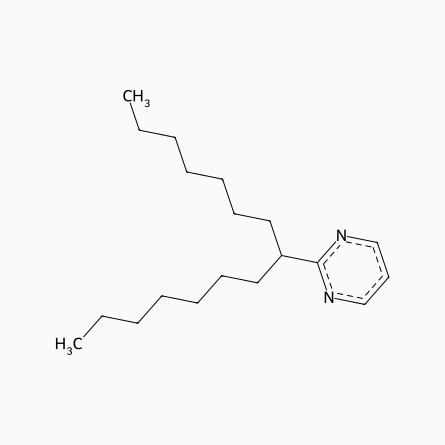 CCCCCCCC(CCCCCCC)c1ncccn1